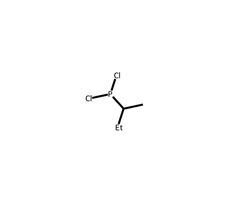 CCC(C)P(Cl)Cl